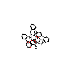 CN(C(=O)OCC1c2ccccc2-c2ccccc21)[C@@H](Cc1ccccc1)C(=O)N(C)[C@@H](Cc1ccccc1)C(=O)N(C)[C@@H](Cc1ccccc1)C(=O)O